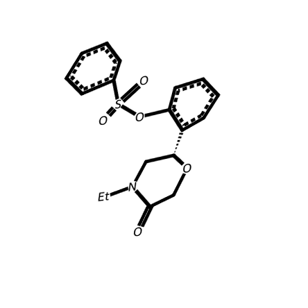 CCN1C[C@H](c2ccccc2OS(=O)(=O)c2ccccc2)OCC1=O